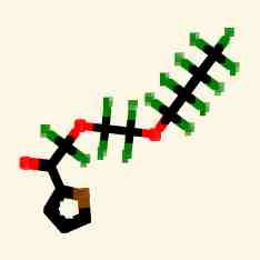 O=C(c1cccs1)C(F)(F)OC(F)(F)C(F)(F)OC(F)(F)C(F)(F)C(F)(F)C(F)(F)F